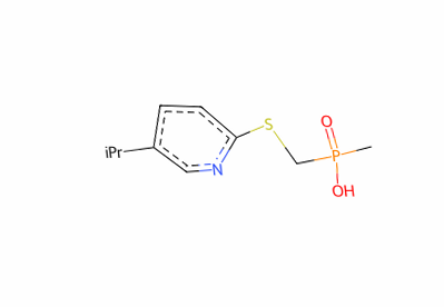 CC(C)c1ccc(SCP(C)(=O)O)nc1